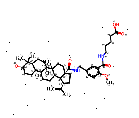 C=C(C)[C@@H]1CC[C@]2(C(=O)NCc3ccc(OC)c(C(=O)NCCCCC(=O)O)c3)CC[C@]3(C)C(CCC4[C@@]5(C)CC[C@H](O)C(C)(C)C5CC[C@]43C)C12